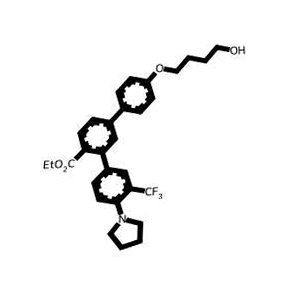 CCOC(=O)c1ccc(-c2ccc(OCCCCO)cc2)cc1-c1ccc(N2CCCC2)c(C(F)(F)F)c1